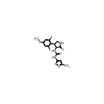 COc1cc(F)c(C2CNC(=O)C2NC(=O)Nc2cc(C)on2)c(F)c1